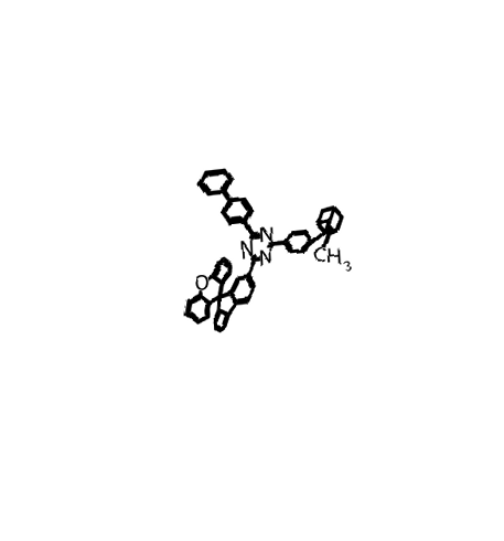 CC1(c2ccc(-c3nc(-c4ccc(-c5ccccc5)cc4)nc(-c4ccc5c(c4)C4(c6ccccc6Oc6ccccc64)c4ccccc4-5)n3)cc2)CC2CC3CC(C2)C3C1